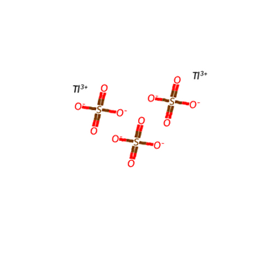 O=S(=O)([O-])[O-].O=S(=O)([O-])[O-].O=S(=O)([O-])[O-].[Tl+3].[Tl+3]